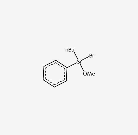 CCCC[Si](Br)(OC)c1ccccc1